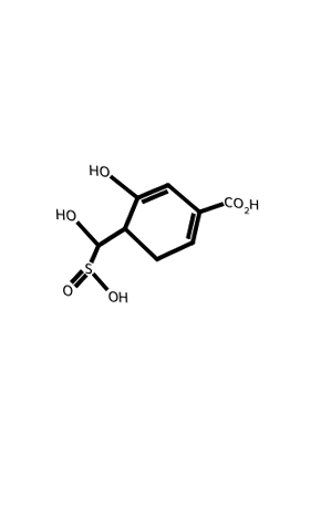 O=C(O)C1=CCC(C(O)S(=O)O)C(O)=C1